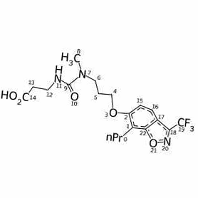 CCCc1c(OCCCN(C)C(=O)NCCC(=O)O)ccc2c(C(F)(F)F)noc12